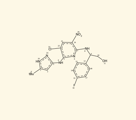 CC(C)(C)c1cc(Nc2nc(NC(CO)c3ccc(F)cc3)c([N+](=O)[O-])cc2Cl)n[nH]1